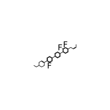 C/C=C\Cc1ccc(-c2ccc(-c3ccc(C4=CCC(CC)CC4)c(F)c3)cc2)c(F)c1F